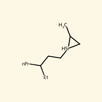 CCCC(CC)CC[SiH]1CC1C